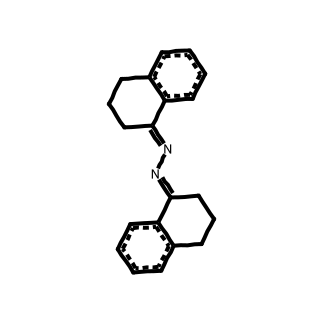 c1ccc2c(c1)CCCC2=NN=C1CCCc2ccccc21